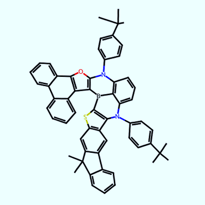 CC(C)(C)c1ccc(N2c3cccc4c3B(c3sc5cc6c(cc5c3N4c3ccc(C(C)(C)C)cc3)-c3ccccc3C6(C)C)c3c2oc2c4ccccc4c4ccccc4c32)cc1